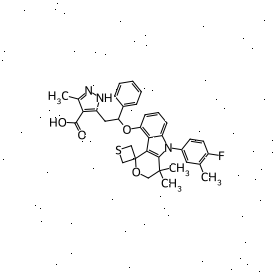 Cc1cc(-n2c3c(c4c(OC(Cc5[nH]nc(C)c5C(=O)O)c5ccccc5)cccc42)C2(CSC2)OCC3(C)C)ccc1F